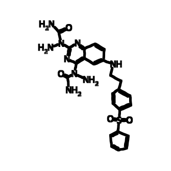 NC(=O)N(N)c1nc(N(N)C(N)=O)c2cc(NCCc3ccc(S(=O)(=O)c4ccccc4)cc3)ccc2n1